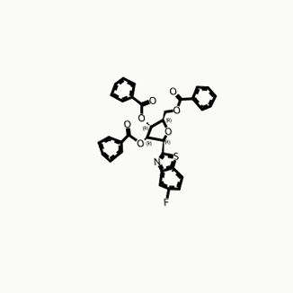 O=C(OC[C@H]1O[C@@H](c2nc3cc(F)ccc3s2)[C@H](OC(=O)c2ccccc2)[C@@H]1OC(=O)c1ccccc1)c1ccccc1